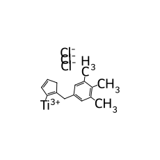 Cc1cc(CC2=[C]([Ti+3])C=CC2)cc(C)c1C.[Cl-].[Cl-].[Cl-]